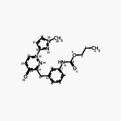 CCCOC(=O)Nc1cccc(Cc2nn(-c3ccn(C)n3)ccc2=O)c1